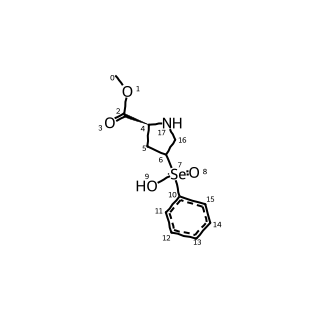 COC(=O)[C@@H]1CC([Se](=O)(O)c2ccccc2)CN1